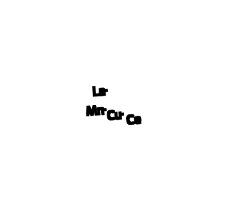 [Ce].[Cu].[La].[Mn]